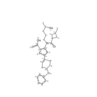 CC(O)CCCN(C(=O)C1CC(C)C1)c1cc(C2=CCC(Oc3ccccc3)CC2)sc1C(=O)O